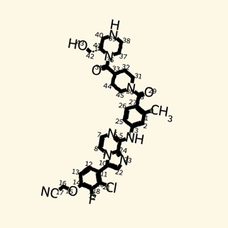 Cc1cc(Nc2nccn3c(-c4ccc(OCC#N)c(F)c4Cl)cnc23)ccc1C(=O)N1CCC(C(=O)N2CCNC[C@H]2CO)CC1